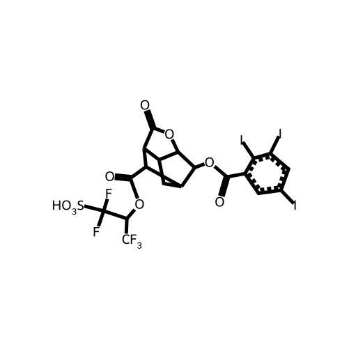 O=C(OC1C2CC3C1OC(=O)C3C2C(=O)OC(C(F)(F)F)C(F)(F)S(=O)(=O)O)c1cc(I)cc(I)c1I